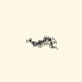 CCC(=O)OC[C@H](CSC[C@H](N)C(=O)N[C@@H](CO)C(=O)NCCOC(C)(C)CCOC(C)(C)CCC(O)NCC(N)=O)OC(=O)C(C)C